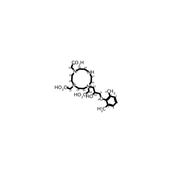 Cc1cccc(C)c1OCC(O)C[N+]1(CC(=O)O)CCNCCN(CC(=O)O)CCN(CC(=O)O)CC1